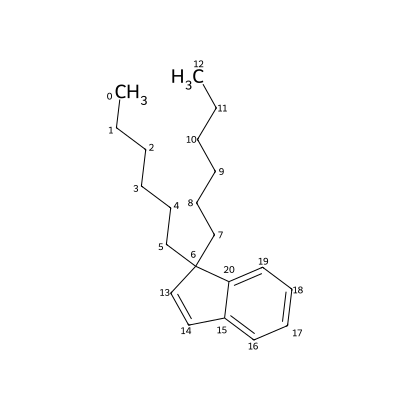 CCCCCCC1(CCCCCC)C=Cc2ccccc21